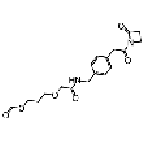 O=COCCCOCC(=O)NCc1ccc(CC(=O)N2CCC2=O)cc1